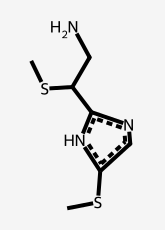 CSc1cnc(C(CN)SC)[nH]1